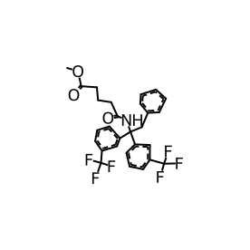 COC(=O)CCCC(=O)NC(Cc1ccccc1)(c1cccc(C(F)(F)F)c1)c1cccc(C(F)(F)F)c1